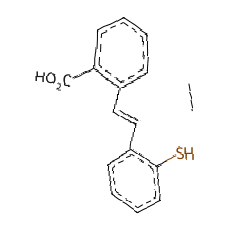 CC.O=C(O)c1ccccc1C=Cc1ccccc1S